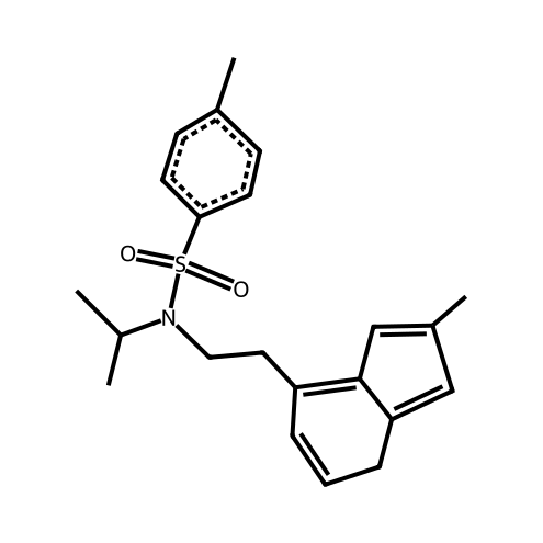 CC1=CC2=C(CCN(C(C)C)S(=O)(=O)c3ccc(C)cc3)C=CCC2=C1